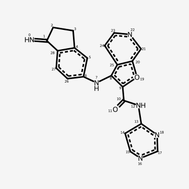 N=C1CCc2cc(Nc3c(C(=O)Nc4ccncn4)oc4cnccc34)ccc21